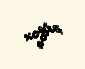 Cc1c(C(=O)OC(C)C)cc2cc(-c3cncs3)cn2c1C(C)N1CCN(CC(F)(F)F)CC1